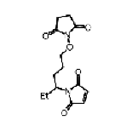 CCC(CCCON1C(=O)CCC1=O)N1C(=O)C=CC1=O